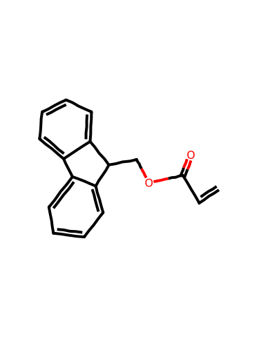 C=CC(=O)OCC1c2ccccc2-c2ccccc21